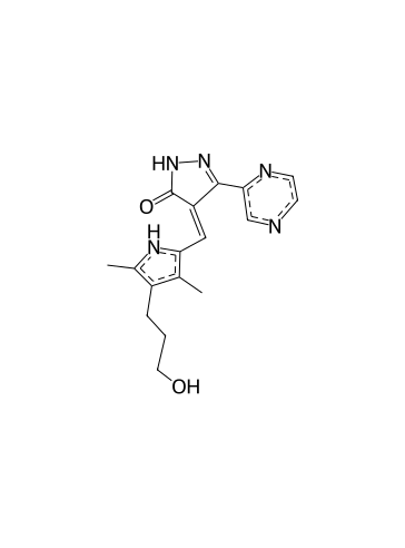 Cc1[nH]c(C=C2C(=O)NN=C2c2cnccn2)c(C)c1CCCO